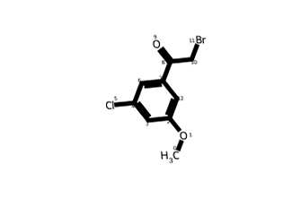 COc1cc(Cl)cc(C(=O)CBr)c1